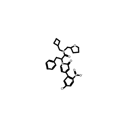 O=C(C(Cc1ccccc1)n1ccc(-c2cc(Cl)ccc2[N+](=O)[O-])cc1=O)N(CC1CCC1)CC1CCCO1